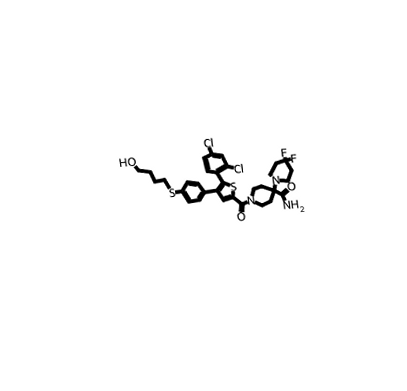 NC(=O)C1(N2CCC(F)(F)CC2)CCN(C(=O)c2cc(-c3ccc(SCCCCO)cc3)c(-c3ccc(Cl)cc3Cl)s2)CC1